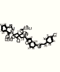 CC(C)(C)OC(=O)C(CCn1nnc2ccccc2c1=O)(CC(=O)c1cc2cc(OCCc3ccc(Cl)cc3)ccc2o1)C(=O)OC(C)(C)C